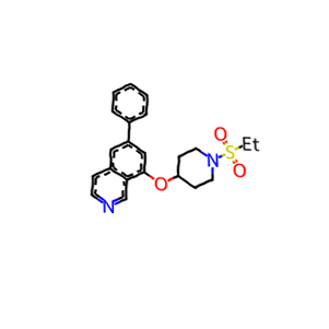 CCS(=O)(=O)N1CCC(Oc2cc(-c3ccccc3)cc3ccncc23)CC1